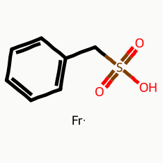 O=S(=O)(O)Cc1ccccc1.[Fr]